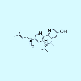 CC(C)=CC[SiH2]c1cnc(-c2ccc(O)cn2)c([SiH](C(C)C)C(C)C)c1